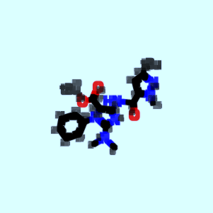 CN(C)c1nc(NC(=O)c2cc(C(C)(C)C)nn2C)c(C(=O)OC(C)(C)C)n1-c1ccccc1